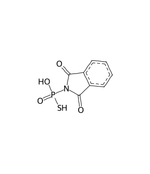 O=C1c2ccccc2C(=O)N1P(=O)(O)S